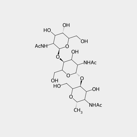 CC(=O)NC1C(O)[C@H](O)C(CO)O[C@H]1O[C@@H]1C(CO)O[C@@H](O[C@@H]2C(CO)O[C@@H](C)C(NC(C)=O)C2O)C(NC(C)=O)C1O